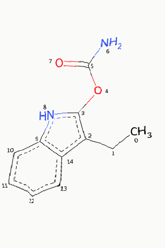 CCc1c(OC(N)=O)[nH]c2ccccc12